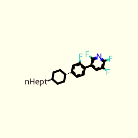 CCCCCCC[C@H]1CC[C@H](c2ccc(-c3cc(F)c(F)nc3F)c(F)c2)CC1